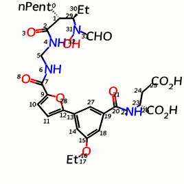 CCCCC[C@@H](C(=O)NCNC(=O)c1ccc(-c2cc(OCC)cc(C(=O)N[C@H](CC(=O)O)C(=O)O)c2)o1)[C@@H](CC)N(O)C=O